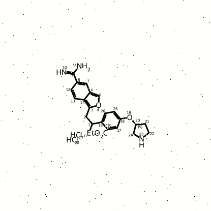 CCOC(=O)C(Cc1occ2cc(C(=N)N)ccc12)c1ccc(O[C@H]2CCNC2)cc1.Cl.Cl